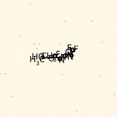 CC(C)(O)CCCCOc1ccc(F)c(-c2ccnc(N3CCC(C(=O)N4N=CCC4c4cc(F)cc(F)c4)CC3)c2)c1